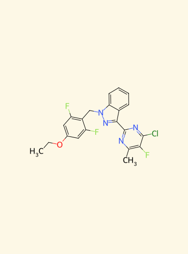 CCOc1cc(F)c(Cn2nc(-c3nc(C)c(F)c(Cl)n3)c3ccccc32)c(F)c1